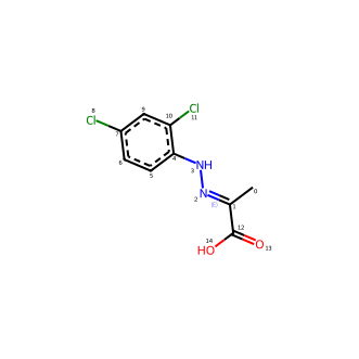 C/C(=N\Nc1ccc(Cl)cc1Cl)C(=O)O